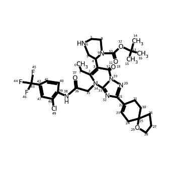 CCc1c(C2CNCCN2C(=O)OC(C)(C)C)c(=O)n2nc(C3=CCC4(CCCO4)CC3)nc2n1CC(=O)Nc1ccc(C(F)(F)F)cc1Cl